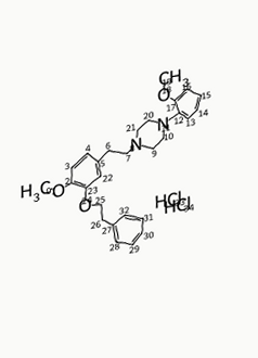 COc1ccc(CCN2CCN(c3ccccc3OC)CC2)cc1OCCc1ccccc1.Cl.Cl